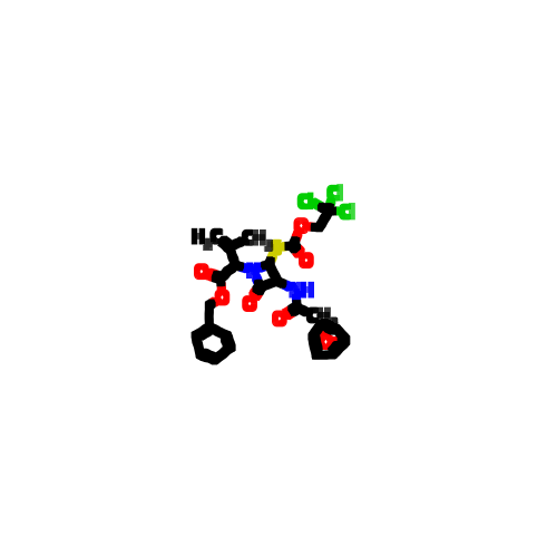 C=C(C)C(C(=O)OCc1ccccc1)N1C(=O)C(NC(C)=O)C1SC(=O)OCC(Cl)(Cl)Cl.c1cc2cc(c1)O2